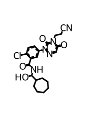 N#CCCn1c(=O)cnn(-c2ccc(Cl)c(C(=O)NC(O)C3CCCCCC3)c2)c1=O